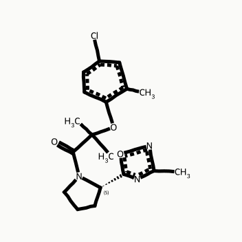 Cc1noc([C@@H]2CCCN2C(=O)C(C)(C)Oc2ccc(Cl)cc2C)n1